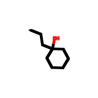 [CH2]CCC1(O)CCCCC1